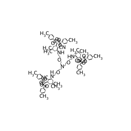 Cc1ccc(S(=O)(=O)C(=C2CC(C)(C)CC(NCCOCCN(CCOCCNC3=C(C#N)C(=C(S(=O)(=O)c4ccc(C)cc4)S(=O)(=O)c4ccc(C)cc4)CC(C)(C)C3)CCOCCNC3=C(C#N)C(=C(S(=O)(=O)c4ccc(C)cc4)S(=O)(=O)c4ccc(C)cc4)CC(C)(C)C3)=C2C#N)S(=O)(=O)c2ccc(C)cc2)cc1